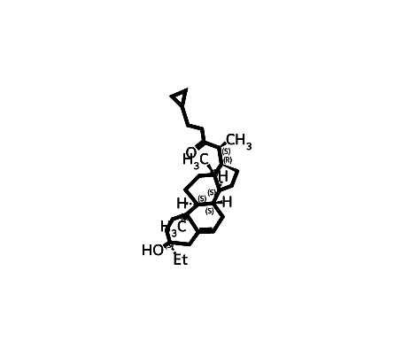 CC[C@]1(O)CC[C@@]2(C)C(=CC[C@H]3[C@@H]4CC[C@H]([C@H](C)C(=O)CCC5CC5)[C@@]4(C)CC[C@@H]32)C1